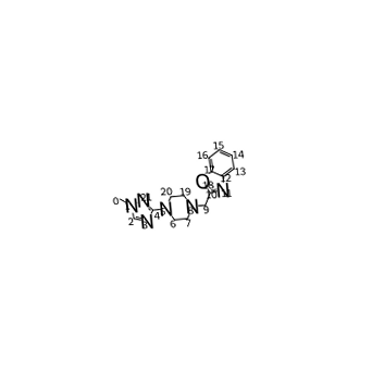 Cn1cnc(N2CCN(Cc3nc4ccccc4o3)CC2)n1